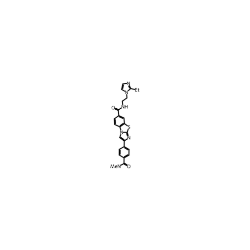 CCc1nccn1CCNC(=O)c1ccc2c(c1)sc1nc(-c3ccc(C(=O)NC)cc3)cn12